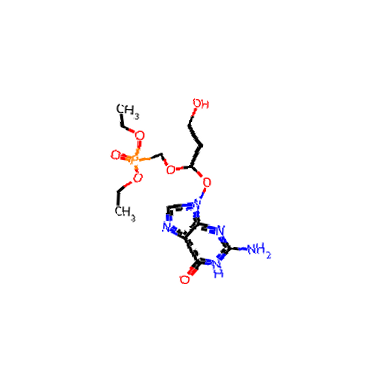 CCOP(=O)(COC(CCO)On1cnc2c(=O)[nH]c(N)nc21)OCC